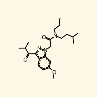 [CH2]CCN(CCC(C)C)C(=O)Cn1nc(C(=O)C(C)C)c2ccc(OC)cc21